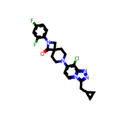 O=C1N(c2ccc(F)cc2F)CC12CCN(c1ccn3c(CC4CC4)nnc3c1Cl)CC2